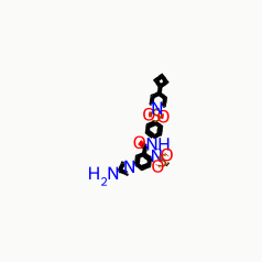 CN(c1ccc(N2CC(N)C2)cc1C(=O)Nc1ccc(S(=O)(=O)N2CCC(C3CCC3)CC2)cc1)S(C)(=O)=O